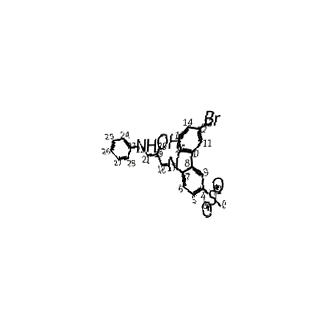 CS(=O)(=O)c1ccc2c(c1)c1cc(Br)ccc1n2CC(O)CNc1ccccc1